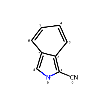 N#CC1=c2ccccc2=C[N]1